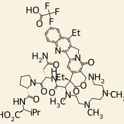 CCc1c2c(nc3ccccc13)-c1cc3c(c(=O)n1C2)COC(=O)[C@]3(CC)C(C(=O)N[C@@H](CC(N)=O)C(=O)N1CCC[C@H]1C(=O)N[C@H](C(=O)O)C(C)C)N(C)CCN(C)CCN(C)CCN.O=C(O)C(F)(F)F